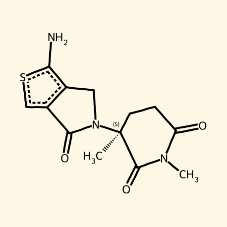 CN1C(=O)CC[C@](C)(N2Cc3c(csc3N)C2=O)C1=O